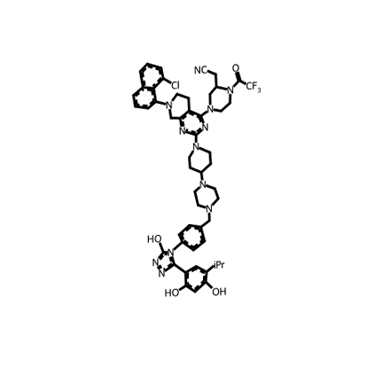 CC(C)c1cc(-c2nnc(O)n2-c2ccc(CN3CCN(C4CCN(c5nc6c(c(N7CCN(C(=O)C(F)(F)F)C(CC#N)C7)n5)CCN(c5cccc7cccc(Cl)c57)C6)CC4)CC3)cc2)c(O)cc1O